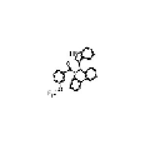 O=C(c1cccc(OC(F)(F)F)c1)N1c2ccccc2-c2ccccc2C1c1c[nH]c2ccccc12